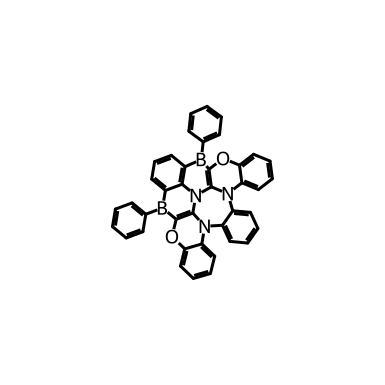 c1ccc(B2C3=c4n5c6n(c7ccccc7n4-c4ccccc4O3)-c3ccccc3OC=6B(c3ccccc3)c3cccc2c3-5)cc1